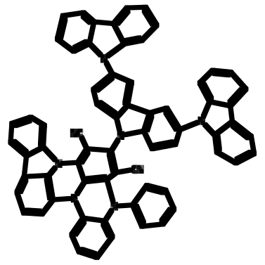 N#Cc1c2c3c(c(C#N)c1-n1c4ccc(-n5c6ccccc6c6ccccc65)cc4c4cc(-n5c6ccccc6c6ccccc65)ccc41)-n1c4ccccc4c4cccc(c41)B3c1ccccc1N2c1ccccc1